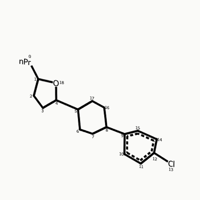 CCCC1CCC(C2CCC(c3ccc(Cl)cc3)CC2)O1